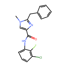 Cn1cc(C(=O)Nc2cccc(Cl)c2F)nc1Cc1ccccc1